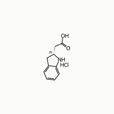 Cl.O=C(O)C[C@H]1Cc2ccccc2N1